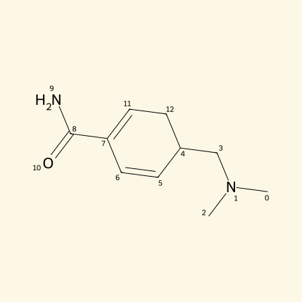 CN(C)CC1C=CC(C(N)=O)=CC1